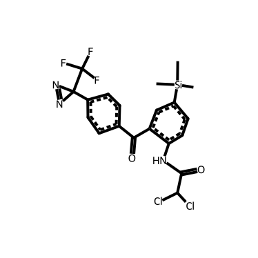 C[Si](C)(C)c1ccc(NC(=O)C(Cl)Cl)c(C(=O)c2ccc(C3(C(F)(F)F)N=N3)cc2)c1